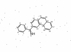 N=C(c1ccccc1)c1ccc2c(c1)C1C=CC=CC1C=C2